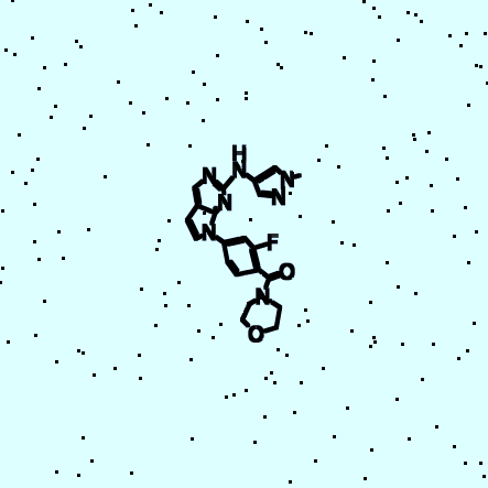 Cn1cc(Nc2ncc3ccn(-c4ccc(C(=O)N5CCOCC5)c(F)c4)c3n2)cn1